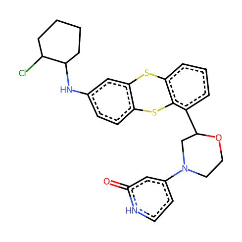 O=c1cc(N2CCOC(c3cccc4c3Sc3ccc(NC5CCCCC5Cl)cc3S4)C2)cc[nH]1